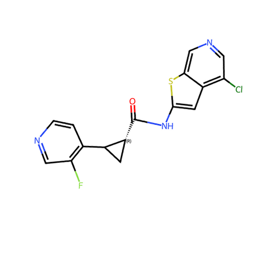 O=C(Nc1cc2c(Cl)cncc2s1)[C@@H]1CC1c1ccncc1F